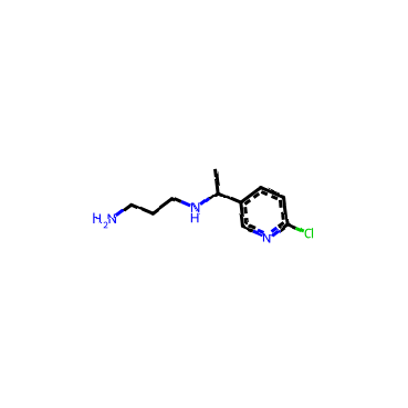 CC(NCCCN)c1ccc(Cl)nc1